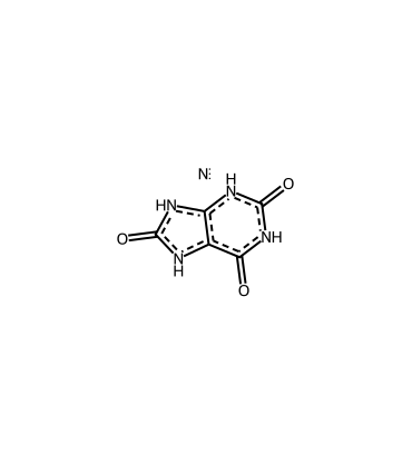 O=c1[nH]c(=O)c2[nH]c(=O)[nH]c2[nH]1.[N]